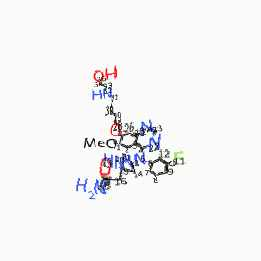 COc1cc2c(N(c3cccc(F)c3)c3cc(CC(N)=O)[nH]n3)ncnc2cc1OCCCNCCO